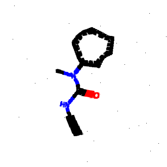 C#CNC(=O)N(C)c1ccccc1